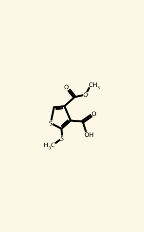 COC(=O)c1csc(SC)c1C(=O)O